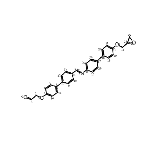 O=CCOc1ccc(-c2ccc(/N=N/c3ccc(-c4ccc(OCC5CO5)cc4)cc3)cc2)cc1